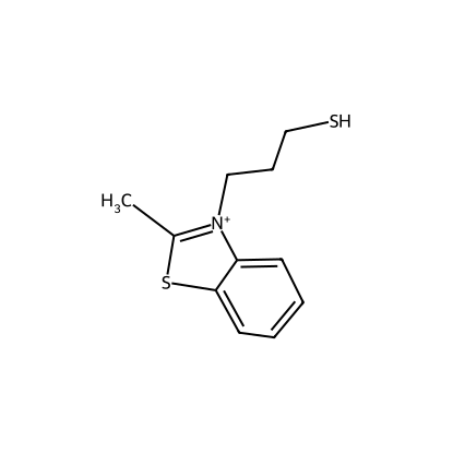 Cc1sc2ccccc2[n+]1CCCS